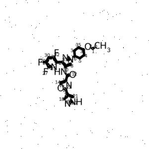 CCOC1CCC(n2cc(NC(=O)c3coc(-c4cn[nH]c4)n3)c(-c3nc(F)c(F)cc3F)n2)CC1